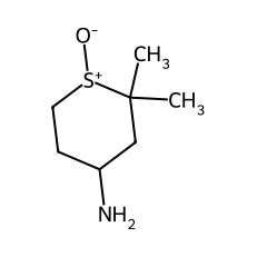 CC1(C)CC(N)CC[S+]1[O-]